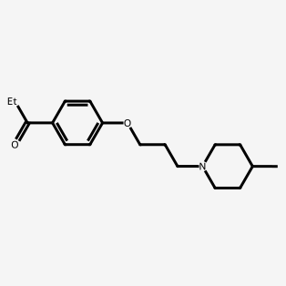 CCC(=O)c1ccc(OCCCN2CCC(C)CC2)cc1